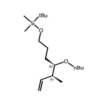 C=C[C@H](C)[C@@H](CCCO[Si](C)(C)C(C)(C)C)OCCCC